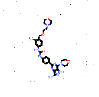 Nc1n[nH]c2c(N3CCOCC3)nc(-c3ccc(NC(=O)Nc4ccc(COCCN5CCOCC5)c(C(F)(F)F)c4)cc3)nc12